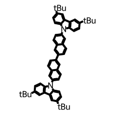 CC(C)(C)c1ccc2c(c1)c1cc(C(C)(C)C)ccc1n2-c1ccc2cc(-c3ccc4cc(-n5c6ccc(C(C)(C)C)cc6c6cc(C(C)(C)C)ccc65)ccc4c3)ccc2c1